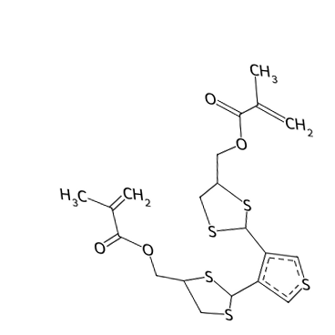 C=C(C)C(=O)OCC1CSC(c2cscc2C2SCC(COC(=O)C(=C)C)S2)S1